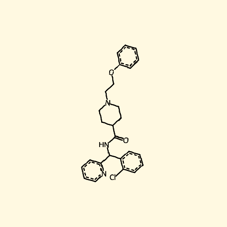 O=C(NC(c1ccccn1)c1ccccc1Cl)C1CCN(CCOc2ccccc2)CC1